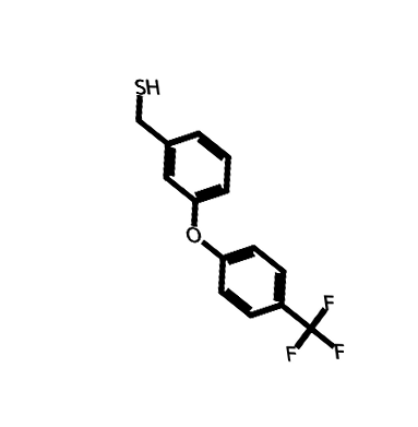 FC(F)(F)c1ccc(Oc2cccc(CS)c2)cc1